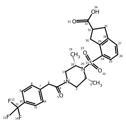 C[C@@H]1CN(C(=O)Cc2ccc(C(F)(F)F)cc2)C[C@H](C)N1S(=O)(=O)c1cccc2c1CC(C(=O)O)C2